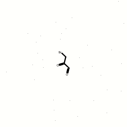 O=[C]C(=O)CBr